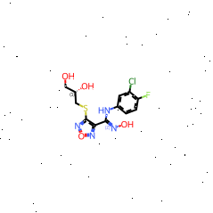 OC[C@H](O)CSc1nonc1/C(=N/O)Nc1ccc(F)c(Cl)c1